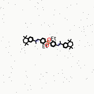 CCc1cc(/C=C(\C)c2ccc3c(c2)C(C)(C)CCC3(C)C)ccc1S(=O)(=O)c1ccc(/C=C(\C)c2ccc3c(c2)C(C)(C)CCC3(C)C)cc1CC